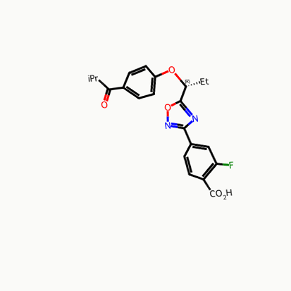 CC[C@@H](Oc1ccc(C(=O)C(C)C)cc1)c1nc(-c2ccc(C(=O)O)c(F)c2)no1